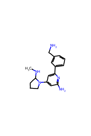 CNC1CCCN1c1cc(N)nc(-c2cccc(CN)c2)c1